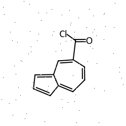 O=C(Cl)c1cccc2cccc-2c1